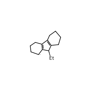 CCC1C2=C(CCC[CH]2)C2=C1CCCC2